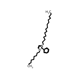 CCCCCCCCCCCCCCCCn1cc[n+](CCCCCCCCC)c1-c1ccccc1